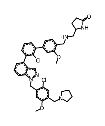 COc1cc(-c2cccc(-c3cccc4c3cnn4Cc3cc(OC)c(CN4CCCC4)cc3Cl)c2Cl)ccc1CNCC1CCC(=O)N1